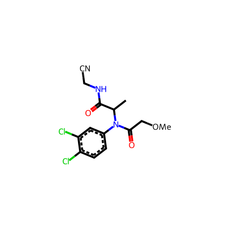 COCC(=O)N(c1ccc(Cl)c(Cl)c1)C(C)C(=O)NCC#N